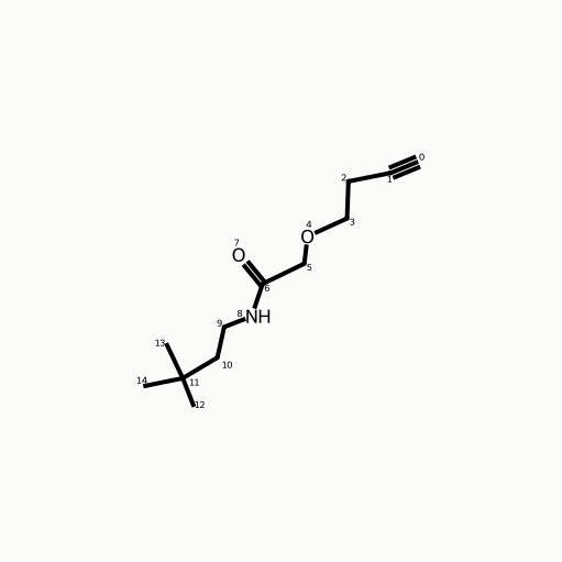 C#CCCOCC(=O)NCCC(C)(C)C